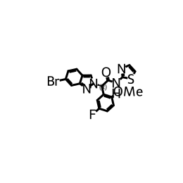 COc1ccc(F)cc1[C@H](C(=O)Nc1nccs1)n1cc2ccc(Br)cc2n1